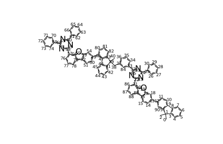 CC1(C)c2ccccc2-c2ccc(-c3ccc4c(c3)oc3c(-c5nc(-c6ccccc6)nc(-c6cccc(CC7(C)c8ccccc8-c8c(-c9ccc%10c(c9)oc9c(-c%11nc(-c%12ccccc%12)nc(-c%12ccccc%12)n%11)cccc9%10)cccc87)c6)n5)cccc34)cc21